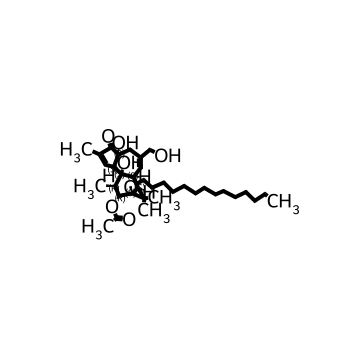 CCCCCCCCCCCCCCO[C@@]12[C@H](OC(C)=O)[C@@H](C)[C@@]3(O)[C@@H](C=C(CO)C[C@]4(O)C(=O)C(C)=C[C@@H]34)[C@H]1C2(C)C